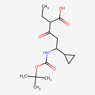 CCC(C(=O)O)C(=O)CC(NC(=O)OC(C)(C)C)C1CC1